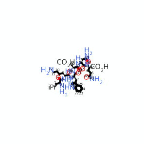 CC(C)C[C@H](N)C(=O)N[C@@H](CCCCN)C(=O)N[C@@H](Cc1c[nH]c2ccccc12)C(=O)N[C@@H](CC(=O)O)C(=O)N[C@@H](CC(N)=O)C(=O)N[C@@H](CCC(N)=O)C(=O)O